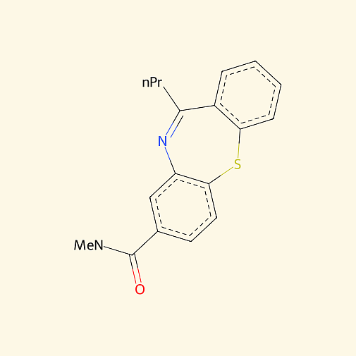 CCCC1=Nc2cc(C(=O)NC)ccc2Sc2ccccc21